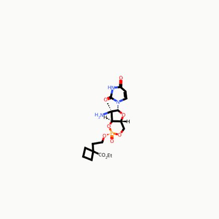 CCOC(=O)C1(CCO[P@@]2(=O)OC[C@H]3O[C@@H](n4ccc(=O)[nH]c4=O)[C@](C)(N)[C@@H]3O2)CCC1